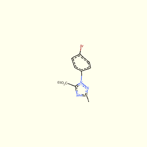 CCOC(=O)c1nc(C)nn1-c1ccc(Br)cc1